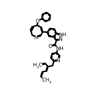 C=C/C(=C\C=C/C)Cc1ccc(NC(=O)c2n[nH]c3ccc(C4=C/C(Oc5ccccc5)C#CC/N=C\4)cc23)cn1